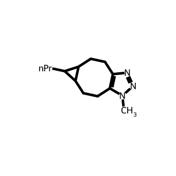 CCCC1C2CCc3nnn(C)c3CCC12